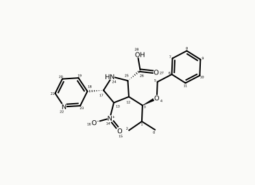 CC(C)[C@H](OCc1ccccc1)C1C([N+](=O)[O-])[C@H](c2cccnc2)N[C@@H]1C(=O)O